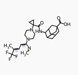 C=N/C(=C\C=C(/C)C(F)(F)F)N1CCN(C2(C(=O)NC3C4CC5CC3CC(C(=O)O)(C5)C4)CC2)CC1